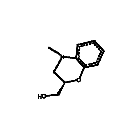 CN1C[C@H](CO)Oc2ccccc21